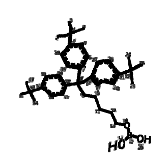 CC(C)(C)c1ccc(C(CCCCCOB(O)O)(c2ccc(C(C)(C)C)cc2)c2ccc(C(C)(C)C)cc2)cc1